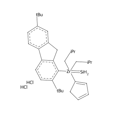 CC(C)[CH2][Zr](=[SiH2])([CH2]C(C)C)([C]1=CC=CC1)[c]1c(C(C)(C)C)ccc2c1Cc1cc(C(C)(C)C)ccc1-2.Cl.Cl